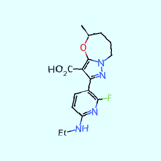 CCNc1ccc(-c2nn3c(c2C(=O)O)OC(C)CCC3)c(F)n1